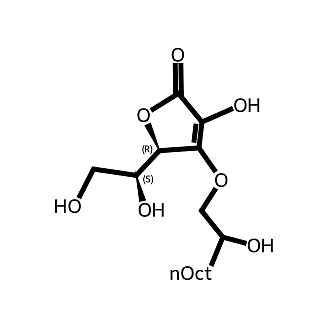 CCCCCCCCC(O)COC1=C(O)C(=O)O[C@@H]1[C@@H](O)CO